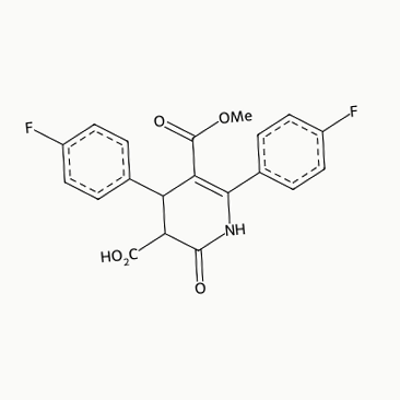 COC(=O)C1=C(c2ccc(F)cc2)NC(=O)C(C(=O)O)C1c1ccc(F)cc1